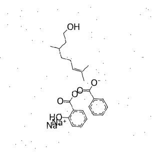 CC(C)=CCCC(C)CCO.O=C([O-])c1ccccc1.O=C([O-])c1ccccc1O.[Na+].[Na+]